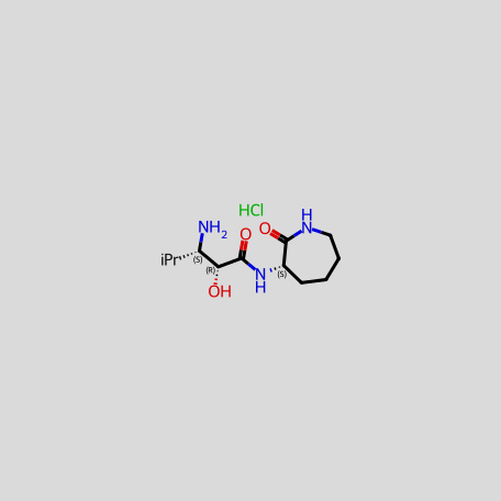 CC(C)[C@H](N)[C@@H](O)C(=O)N[C@H]1CCCCNC1=O.Cl